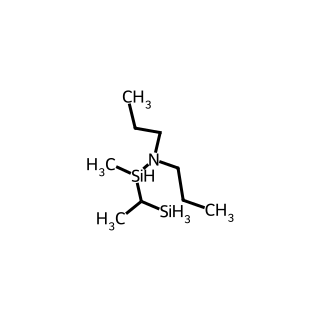 CCCN(CCC)[SiH](C)C(C)[SiH3]